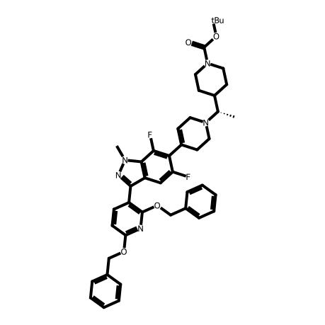 C[C@@H](C1CCN(C(=O)OC(C)(C)C)CC1)N1CC=C(c2c(F)cc3c(-c4ccc(OCc5ccccc5)nc4OCc4ccccc4)nn(C)c3c2F)CC1